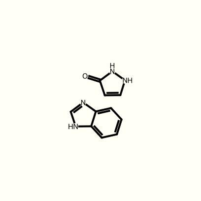 O=c1cc[nH][nH]1.c1ccc2[nH]cnc2c1